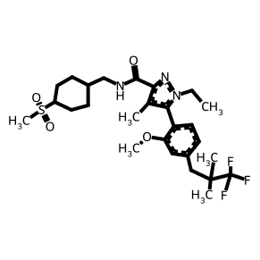 CCn1nc(C(=O)NCC2CCC(S(C)(=O)=O)CC2)c(C)c1-c1ccc(CC(C)(C)C(F)(F)F)cc1OC